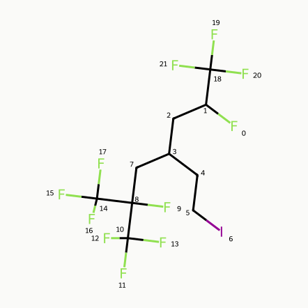 FC(CC(CCI)CC(F)(C(F)(F)F)C(F)(F)F)C(F)(F)F